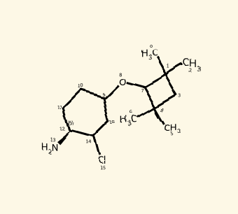 CC1(C)CC(C)(C)C1OC1CC[C@H](N)C(Cl)C1